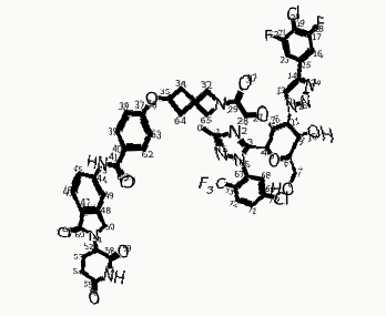 Cc1nc([C@@H]2O[C@H](CO)[C@H](O)[C@H](n3cc(-c4cc(F)c(Cl)c(F)c4)nn3)[C@H]2OCC(=O)N2CC3(CC(Oc4ccc(C(=O)Nc5ccc6c(c5)CN(C5CCC(=O)NC5=O)C6=O)cc4)C3)C2)n(-c2cc(Cl)ccc2C(F)(F)F)n1